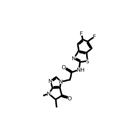 CC1C(=O)c2c(ncn2CC(=O)Nc2nc3cc(F)c(F)cc3s2)N1C